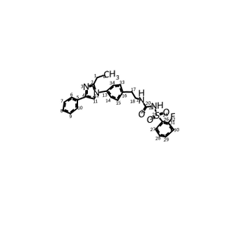 CCc1nc(-c2ccccc2)cn1-c1ccc(CCNC(=O)NS(=O)(=O)c2ccccc2F)cc1